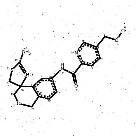 COCc1ccc(C(=O)Nc2ccc3c(c2)C2(COC3)CSC(N)=N2)nc1